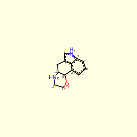 c1cc2c3c(c[nH]c3c1)CC1NCCOC21